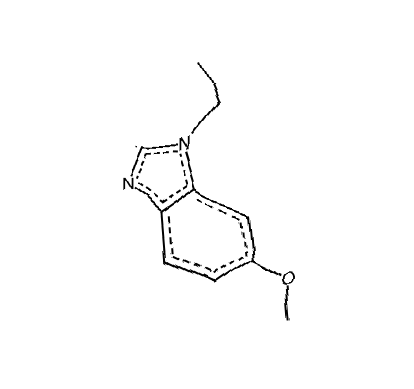 CCn1[c]nc2ccc(OC)cc21